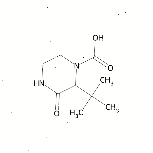 CC(C)(C)C1C(=O)NCCN1C(=O)O